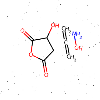 C=C=C.NO.O=C1CC(O)C(=O)O1